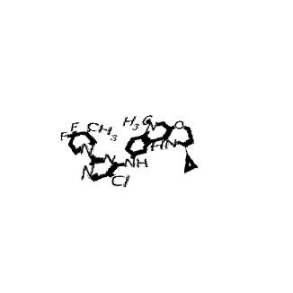 C[C@@H]1CN(c2ncc(Cl)c(Nc3ccc4c(c3)C3=C(CN4C)OCC[C@H](C4CC4)N3)n2)CCC1(F)F